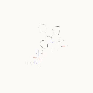 CC(=O)C12CC1c1ccccc1-c1c(C3CCCCC3)c3ccc(C(=O)NS(=O)(=O)N(C)C)cc3n1C2